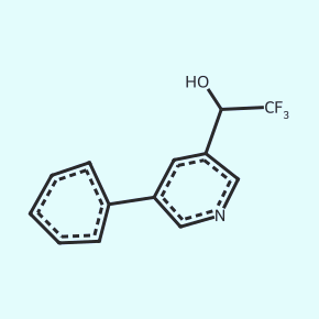 OC(c1cncc(-c2ccccc2)c1)C(F)(F)F